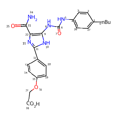 CCCCc1ccc(NC(=O)Nc2[nH]c(-c3ccc(OCC(=O)O)cc3)nc2C(N)=O)cc1